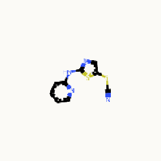 N#CSc1cnc(Nc2ccccn2)s1